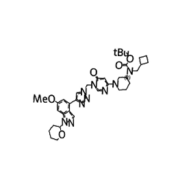 COc1cc(-c2cn(Cn3cnc(N4CCC[C@@H](N(CC5CCC5)C(=O)OC(C)(C)C)C4)cc3=O)nn2)c2cnn(C3CCCCO3)c2c1